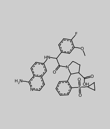 COc1cc(C(Nc2ccc3c(N)nccc3c2)C(=O)N2CCC(C(=O)O)C2c2ccccc2S(=O)(=O)C2CC2)ccc1F